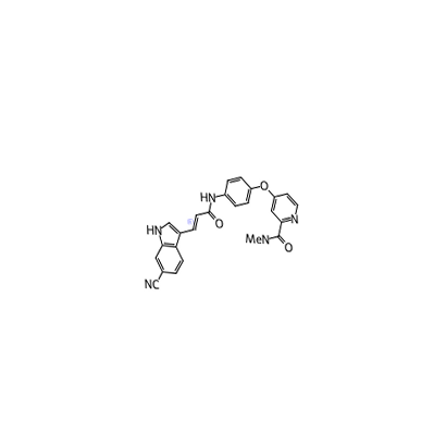 CNC(=O)c1cc(Oc2ccc(NC(=O)/C=C/c3c[nH]c4cc(C#N)ccc34)cc2)ccn1